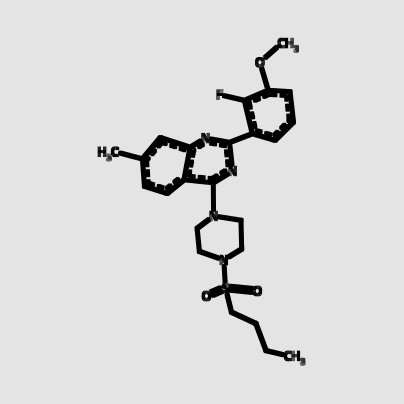 CCCCS(=O)(=O)N1CCN(c2nc(-c3cccc(OC)c3F)nc3cc(C)ccc23)CC1